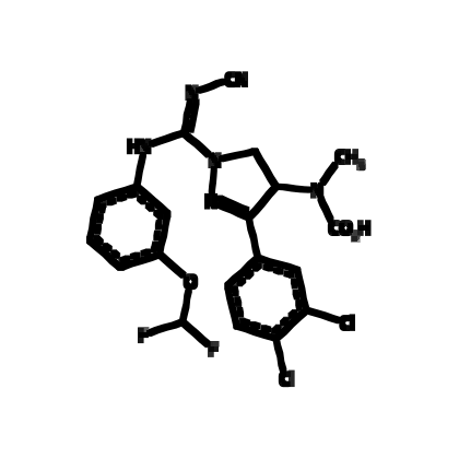 CN(C(=O)O)C1CN(C(=NC#N)Nc2cccc(OC(F)F)c2)N=C1c1ccc(Cl)c(Cl)c1